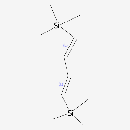 C[Si](C)(C)/C=C/C=C/[Si](C)(C)C